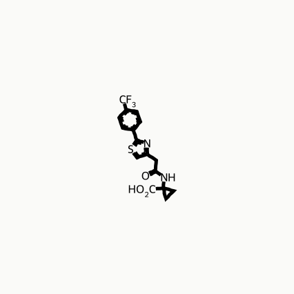 O=C(Cc1csc(-c2ccc(C(F)(F)F)cc2)n1)NC1(C(=O)O)CC1